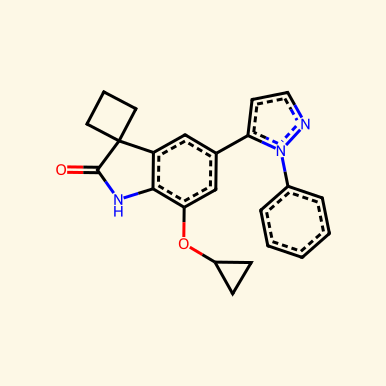 O=C1Nc2c(OC3CC3)cc(-c3ccnn3-c3ccccc3)cc2C12CCC2